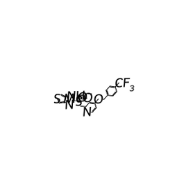 COc1c(OCc2ccc(C(F)(F)F)cc2)ccnc1C[S+]([O-])c1nc2cscc2[nH]1